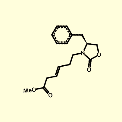 COC(=O)C/C=C/CCN1C(=O)OC[C@@H]1Cc1ccccc1